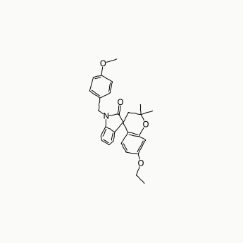 CCOc1ccc2c(c1)OC(C)(C)CC21C(=O)N(Cc2ccc(OC)cc2)c2ccccc21